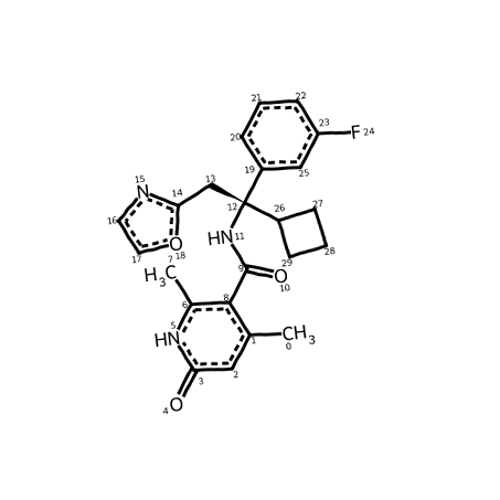 Cc1cc(=O)[nH]c(C)c1C(=O)N[C@](Cc1ncco1)(c1cccc(F)c1)C1CCC1